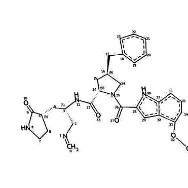 C=NC[C@H](C[C@@H]1CCNC1=O)NC(=O)[C@@H]1C[C@@H](Cc2ccccc2)CN1C(=O)c1cc2c(OC)cccc2[nH]1